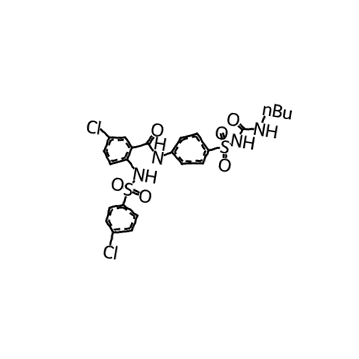 CCCCNC(=O)NS(=O)(=O)c1ccc(NC(=O)c2cc(Cl)ccc2NS(=O)(=O)c2ccc(Cl)cc2)cc1